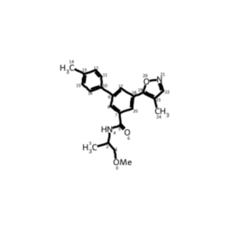 COCC(C)NC(=O)c1cc(-c2ccc(C)cc2)cc(-c2oncc2C)c1